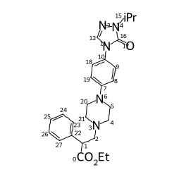 CCOC(=O)C(CN1CCN(c2ccc(-n3cnn(C(C)C)c3=O)cc2)CC1)c1ccccc1